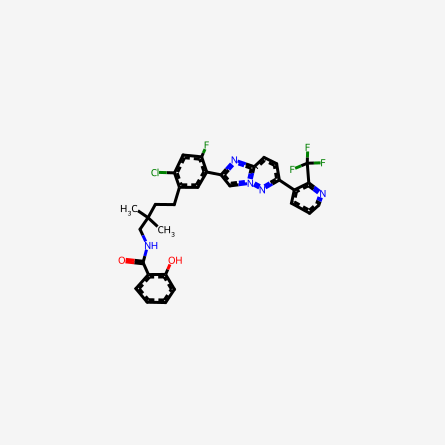 CC(C)(CCc1cc(-c2cn3nc(-c4cccnc4C(F)(F)F)ccc3n2)c(F)cc1Cl)CNC(=O)c1ccccc1O